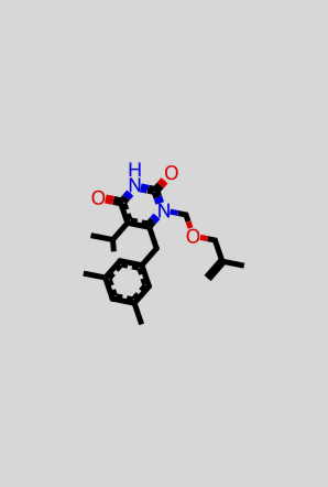 C=C(C)COCn1c(Cc2cc(C)cc(C)c2)c(C(C)C)c(=O)[nH]c1=O